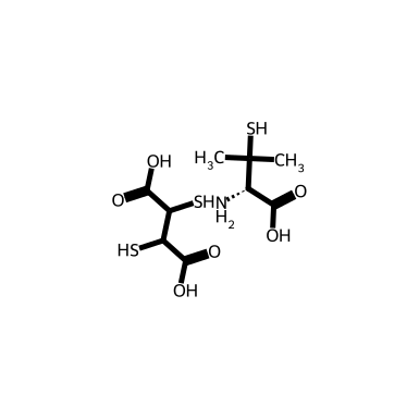 CC(C)(S)[C@@H](N)C(=O)O.O=C(O)C(S)C(S)C(=O)O